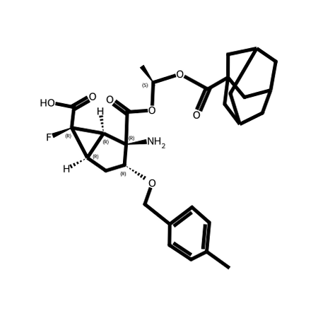 Cc1ccc(CO[C@@H]2C[C@@H]3[C@H]([C@]2(N)C(=O)O[C@@H](C)OC(=O)C24CC5CC(CC(C5)C2)C4)[C@@]3(F)C(=O)O)cc1